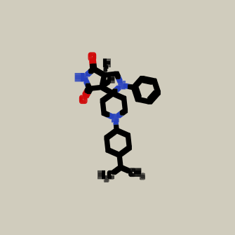 CC(C)C1CCC(N2CCC3(CC2)[C@@H]2C(=O)NC(=O)[C@H]2CN3c2ccccc2)CC1